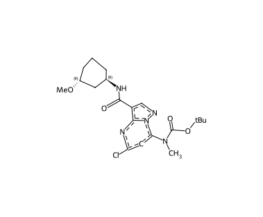 CO[C@@H]1CCC[C@@H](NC(=O)c2cnn3c(N(C)C(=O)OC(C)(C)C)cc(Cl)nc23)C1